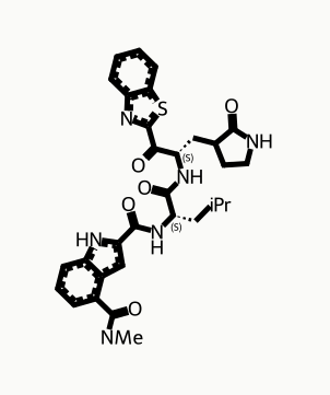 CNC(=O)c1cccc2[nH]c(C(=O)N[C@@H](CC(C)C)C(=O)N[C@@H](CC3CCNC3=O)C(=O)c3nc4ccccc4s3)cc12